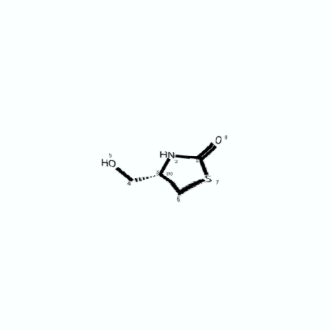 O=C1N[C@@H](CO)CS1